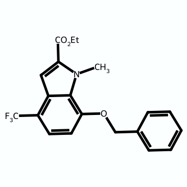 CCOC(=O)c1cc2c(C(F)(F)F)ccc(OCc3ccccc3)c2n1C